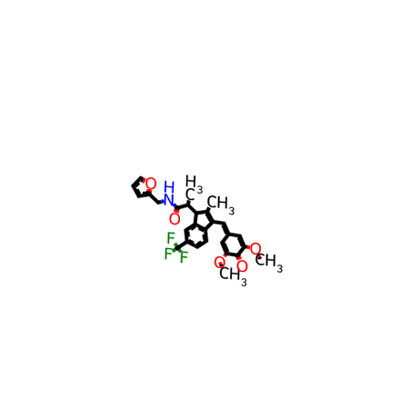 COC1=CC(=CC2=C(C)C(C(C)C(=O)NCc3ccco3)c3cc(C(F)(F)F)ccc32)C=C(OC)C1=O